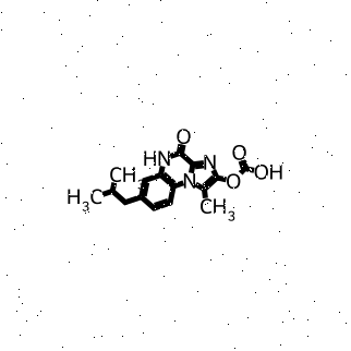 Cc1c(OC(=O)O)nc2c(=O)[nH]c3cc(CC(C)C)ccc3n12